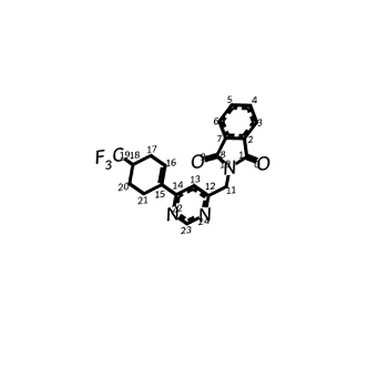 O=C1c2ccccc2C(=O)N1Cc1cc(C2=CCC(C(F)(F)F)CC2)ncn1